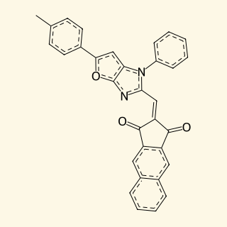 Cc1ccc(-c2cc3c(nc(C=C4C(=O)c5cc6ccccc6cc5C4=O)n3-c3ccccc3)o2)cc1